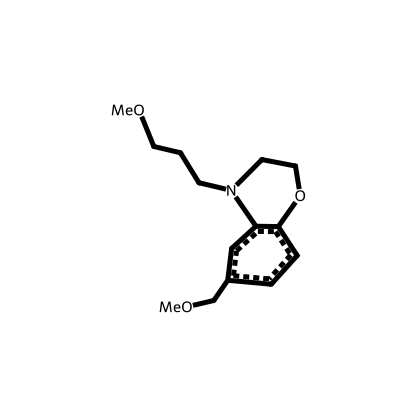 COCCCN1CCOc2ccc(COC)cc21